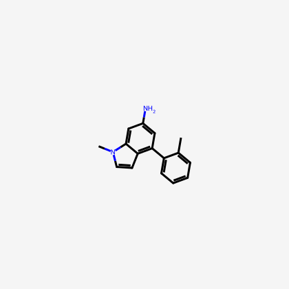 Cc1ccccc1-c1cc(N)cc2c1ccn2C